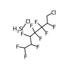 FC(F)C(F)C(F)C(F)(F)C(F)(F)C(F)CCl.[SiH3]Cl